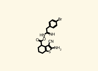 N#Cc1c(N)sc2c1C(C(=O)ONC(=N)Cc1ccc(Br)cc1)CCC2